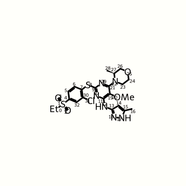 CCS(=O)(=O)c1ccc(Sc2nc(Nc3cc(C)[nH]n3)c(OC)c(N3CCOC[C@@H]3C)n2)c(Cl)c1